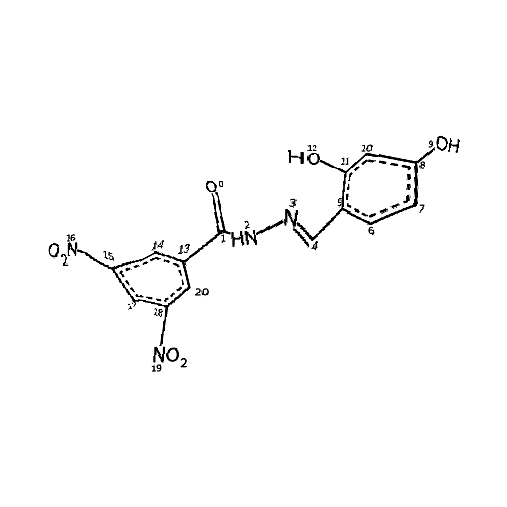 O=C(NN=Cc1ccc(O)cc1O)c1cc([N+](=O)[O-])cc([N+](=O)[O-])c1